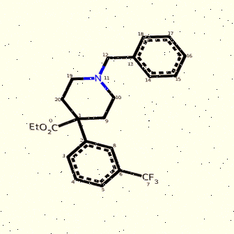 CCOC(=O)C1(c2cccc(C(F)(F)F)c2)CCN(Cc2ccccc2)CC1